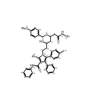 COc1ccc(COC(CC(=O)NO)CC(O)CCn2c(-c3ccc(F)cc3)c(-c3ccccc3)c(C(=O)Nc3ccccc3)c2C(C)C)cc1